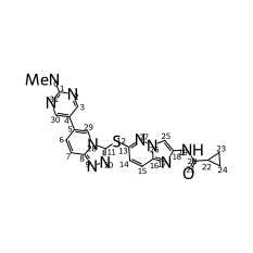 CNc1ncc(-c2ccc3nnc(Sc4ccc5nc(NC(=O)C6CC6)cn5n4)n3c2)cn1